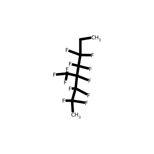 CCC(F)(F)C(F)(F)C(F)(C(F)(F)F)C(F)(F)C(C)(F)F